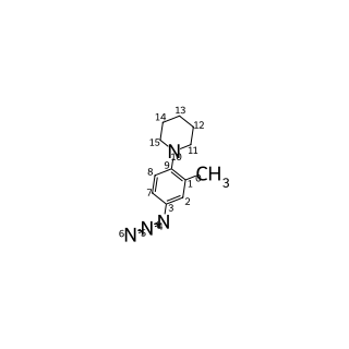 Cc1cc(N=[N+]=[N-])ccc1N1CCCCC1